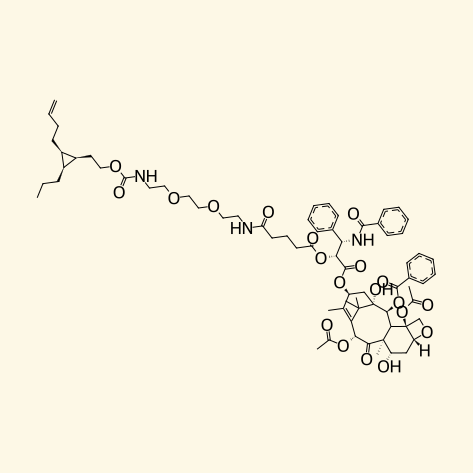 C=CCC[C@@H]1[C@H](CCC)[C@@H]1CCOC(=O)NCCOCCOCCNC(=O)CCCC(=O)O[C@@H](C(=O)O[C@H]1C[C@@]2(O)[C@@H](OC(=O)c3ccccc3)C3[C@](C)(C(=O)[C@H](OC(C)=O)C(=C1C)C2(C)C)[C@@H](O)C[C@H]1OC[C@@]31OC(C)=O)[C@@H](NC(=O)c1ccccc1)c1ccccc1